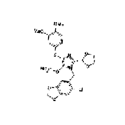 COc1ccc(Sc2nc(C3OCCO3)n(Cc3cc4c(cc3Cl)OCO4)c2OC(=O)O)cc1OC